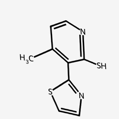 Cc1ccnc(S)c1-c1nccs1